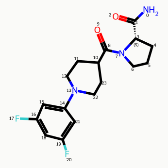 NC(=O)[C@@H]1CCCN1C(=O)C1CCN(c2cc(F)cc(F)c2)CC1